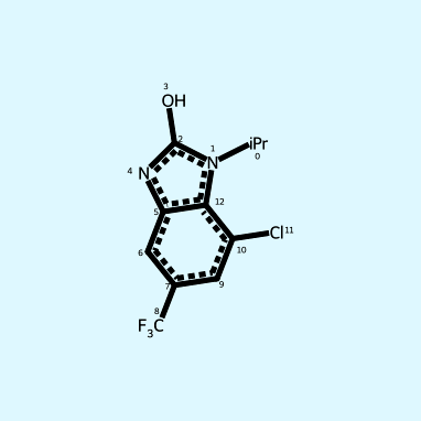 CC(C)n1c(O)nc2cc(C(F)(F)F)cc(Cl)c21